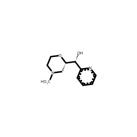 O=C(O)N1CCO[C@H]([C@H](O)c2ccccn2)C1